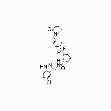 O=C(NCc1n[nH]c2ccc(Cl)cc12)c1cccc(C(F)(F)c2ccc(Cn3ccccc3=O)cc2)c1